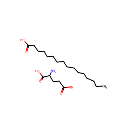 CCCCCCCCCCCCCCCC(=O)O.NC(CCC(=O)O)C(=O)O